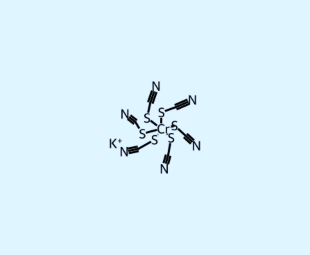 N#C[S][Cr-]([S]C#N)([S]C#N)([S]C#N)([S]C#N)[S]C#N.[K+]